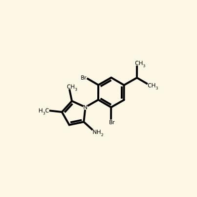 Cc1cc(N)n(-c2c(Br)cc(C(C)C)cc2Br)c1C